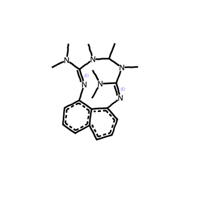 CC1N(C)/C(N(C)C)=N/c2cccc3cccc(c23)/N=C(\N(C)C)N1C